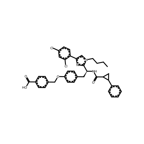 CCCCn1cc(-c2ccc(Cl)cc2Cl)nc1[C@H](Cc1ccc(OCc2ccc(C(=O)O)cc2)cc1)NC(=O)C1CC1c1ccccc1